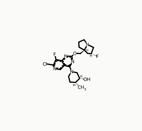 C[C@@H]1CCN(c2nc(OC[C@@]34CCCN3C[C@H](F)C4)nc3c(F)c(Cl)ncc23)C[C@@H]1O